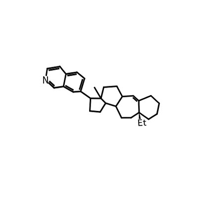 CC[C@]12CCCCC1=CC1CCC3(C)C(c4ccc5ccncc5c4)CCC3C1CC2